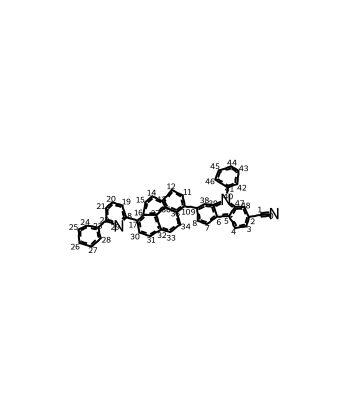 N#Cc1ccc2c3ccc(-c4ccc5ccc6c(-c7cccc(-c8ccccc8)n7)ccc7ccc4c5c76)cc3n(-c3ccccc3)c2c1